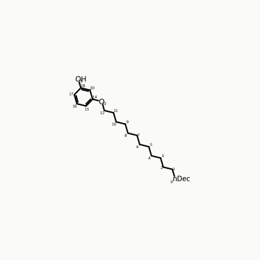 CCCCCCCCCCCCCCCCCCCCCCOc1cccc(O)c1